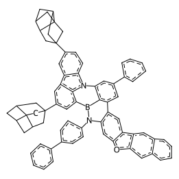 c1ccc(-c2ccc(N3B4c5c(cc(-c6ccccc6)cc5-n5c6ccc(C78CC9CC%10CC9(C7)C%10C8)cc6c6cc(C78CC9CC%10CC(C7)C%109C8)cc4c65)-c4cc5c(cc43)oc3cc4ccccc4cc35)cc2)cc1